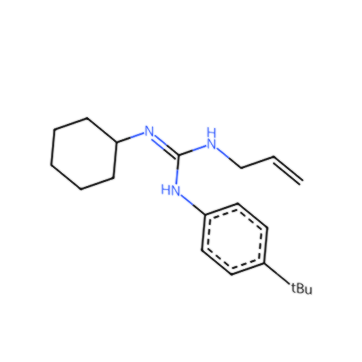 C=CCNC(=NC1CCCCC1)Nc1ccc(C(C)(C)C)cc1